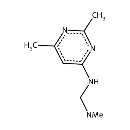 CNCNc1cc(C)nc(C)n1